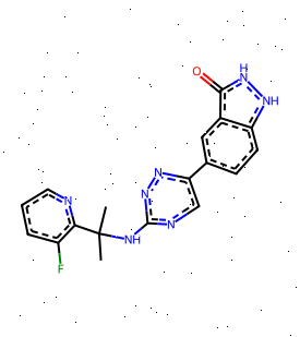 CC(C)(Nc1ncc(-c2ccc3[nH][nH]c(=O)c3c2)nn1)c1ncccc1F